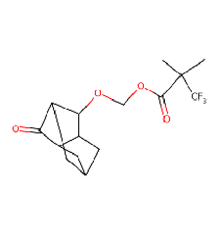 CC(C)(C(=O)OCOC1C2CC3CC(C2=O)C1C3)C(F)(F)F